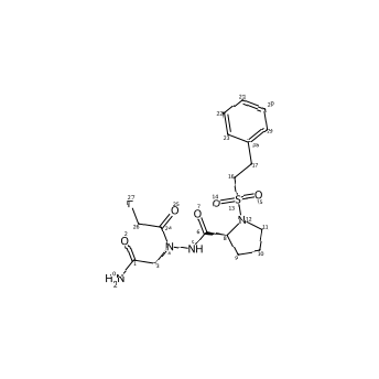 NC(=O)CN(NC(=O)[C@@H]1CCCN1S(=O)(=O)CCc1ccccc1)C(=O)CF